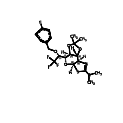 CN(C)C1=N[C@@H]2[C@H]3OC(C)(C)O[C@@H]3[C@@H]([C@@H](OCc3ccc(F)cc3)C(F)(F)F)O[C@@H]2S1